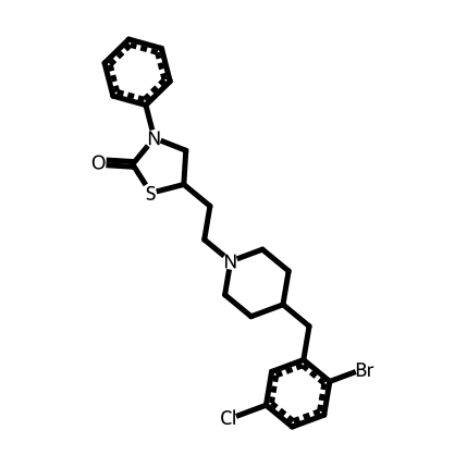 O=C1SC(CCN2CCC(Cc3cc(Cl)ccc3Br)CC2)CN1c1ccccc1